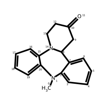 CN1c2ccccc2C2CC(=O)CCN2c2ccccc21